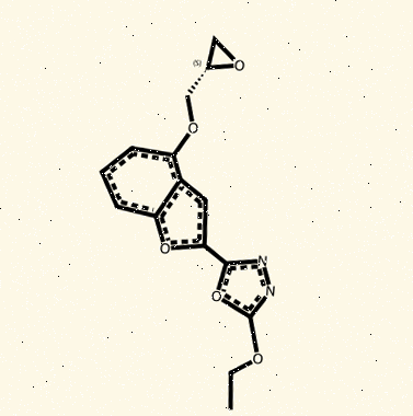 CCOc1nnc(-c2cc3c(OC[C@@H]4CO4)cccc3o2)o1